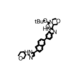 CC(C)(C)OC(=O)N1CCOCC1c1nc2ccc(-c3ccc4cc(-c5cnc([C@H]6CCCOC6)[nH]5)ccc4c3)cc2[nH]1